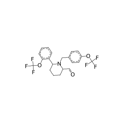 O=CC1CCCC(c2ccccc2OC(F)(F)F)N1Cc1ccc(OC(F)(F)F)cc1